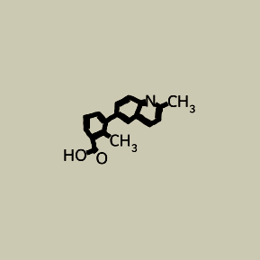 Cc1ccc2cc(-c3cccc(C(=O)O)c3C)ccc2n1